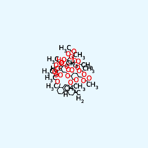 C=C1CC[C@@H]2C([C@@H](C)O[C@@H]3OC(COC(C)=O)[C@@H](OC(C)=O)C(O[C@H](OC(C)=O)C(OC(C)=O)[C@@H](OC(C)=O)C(O)COC(C)=O)C3O[C@@H]3OC(C)[C@H](OC(C)=O)C(OC(C)=O)C3OC(C)=O)(CCC3[C@](C)(C=O)CCC[C@]32C)C1